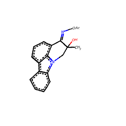 CC(=O)O/N=C1/c2cccc3c4ccccc4n(c23)CC1(C)O